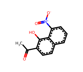 CC(=O)c1ccc2cccc([N+](=O)[O-])c2c1O